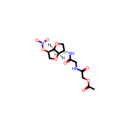 CC(=O)OCC(=O)NCC(=O)N[C@H]1CO[C@@H]2C(O[N+](=O)[O-])CO[C@H]12